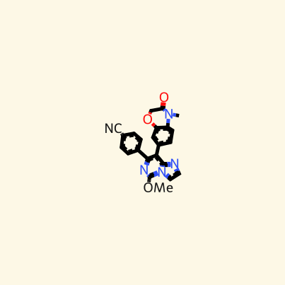 COc1nc(-c2ccc(C#N)cc2)c(-c2ccc3c(c2)OCC(=O)N3C)c2nccn12